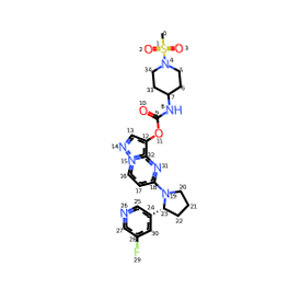 CS(=O)(=O)N1CCC(NC(=O)Oc2cnn3ccc(N4CCC[C@@H]4c4cncc(F)c4)nc23)CC1